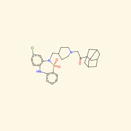 O=C(CN1CCC(CN2c3cc(Cl)ccc3Nc3ccccc3S2(=O)=O)CC1)C12CC3CC(CC(C3)C1)C2